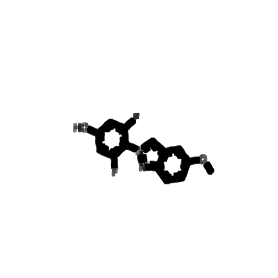 COc1ccc2nn(-c3c(F)cc(O)cc3F)cc2c1